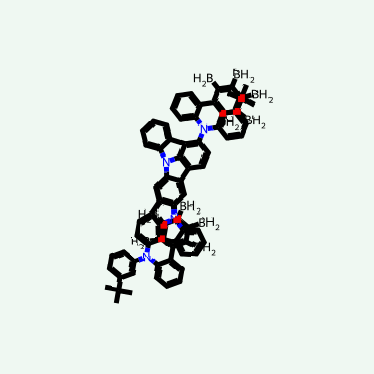 Bc1c(B)c(B)c(-c2ccccc2N(c2cccc(C(C)(C)C)c2)c2ccc3c4cc5c(cc4n4c6ccccc6c2c34)c2ccc(N(c3cccc(C(C)(C)C)c3)c3ccccc3-c3c(B)c(B)c(B)c(B)c3B)c3c4ccccc4n5c23)c(B)c1B